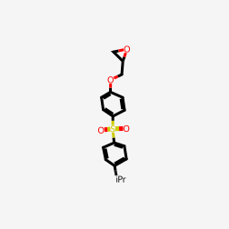 CC(C)c1ccc(S(=O)(=O)c2ccc(OCC3CO3)cc2)cc1